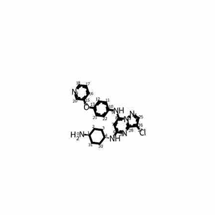 N[C@H]1CC[C@H](Nc2cc(Nc3ccc(Oc4cccnc4)cc3)n3ncc(Cl)c3n2)CC1